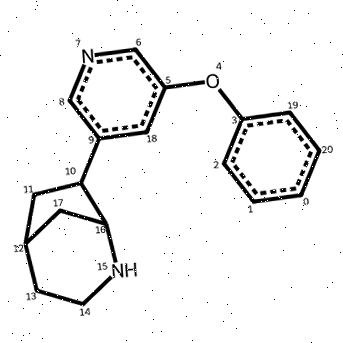 c1ccc(Oc2cncc(C3CC4CCNC3C4)c2)cc1